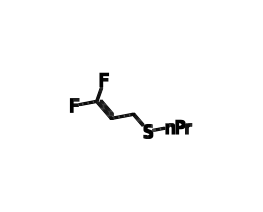 [CH2]CCSCC=C(F)F